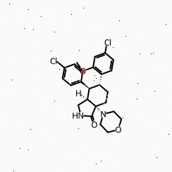 COc1cc(Cl)ccc1[C@@H]1CC[C@@]2(N3CCOCC3)C(=O)NC[C@H]2[C@H]1c1ccc(Cl)cc1